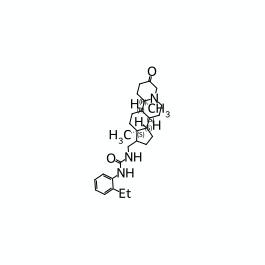 CCc1ccccc1NC(=O)NCC1CC[C@H]2[C@@H]3CCN4CC(=O)CC[C@]4(C)[C@@H]3CC[C@]12C